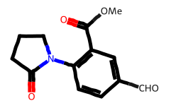 COC(=O)c1cc(C=O)ccc1N1CCCC1=O